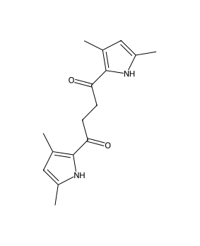 Cc1cc(C)c(C(=O)CCC(=O)c2[nH]c(C)cc2C)[nH]1